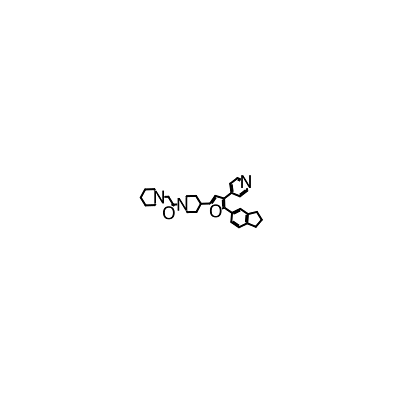 O=C(CN1CCCCC1)N1CCC(c2cc(-c3ccncc3)c(-c3ccc4c(c3)CCC4)o2)CC1